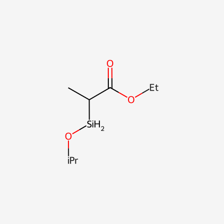 CCOC(=O)C(C)[SiH2]OC(C)C